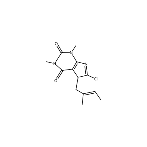 CC=C(C)Cn1c(Cl)nc2c1c(=O)n(C)c(=O)n2C